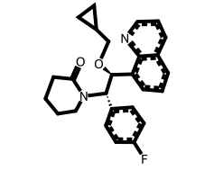 O=C1CCCCN1[C@@H](c1ccc(F)cc1)[C@@H](OCC1CC1)c1cccc2cccnc12